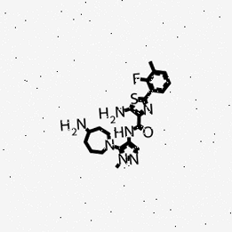 Cc1cccc(-c2nc(C(=O)Nc3cnn(C)c3N3CCCC(N)CC3)c(N)s2)c1F